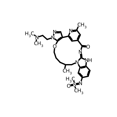 Cc1cc2cc(n1)-c1cnn(CCN(C)C)c1OCCCC(C)CN1/C(=N/C2=O)Nc2ccc(N=S(C)(C)=O)cc21